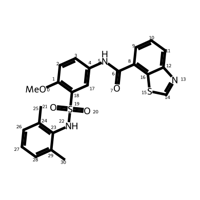 COc1ccc(NC(=O)c2cccc3ncsc23)cc1S(=O)(=O)Nc1c(C)cccc1C